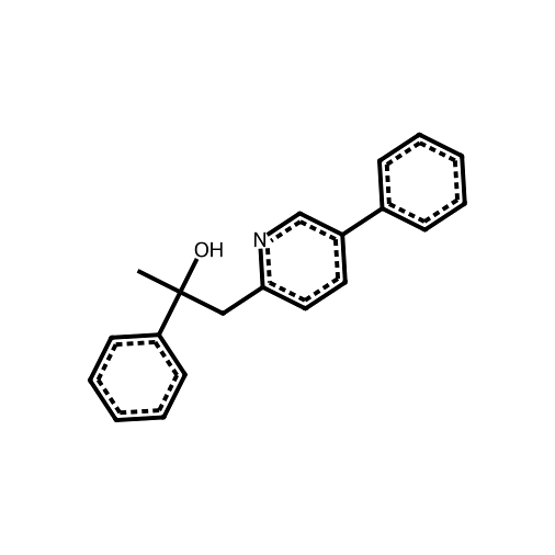 CC(O)(Cc1ccc(-c2ccccc2)cn1)c1ccccc1